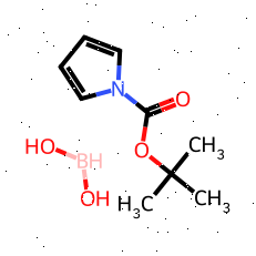 CC(C)(C)OC(=O)n1cccc1.OBO